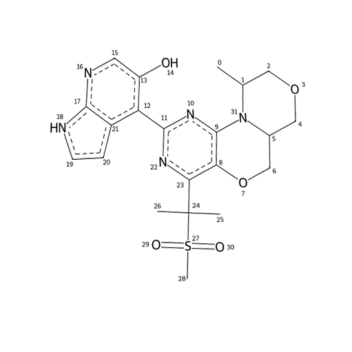 CC1COCC2COc3c(nc(-c4c(O)cnc5[nH]ccc45)nc3C(C)(C)S(C)(=O)=O)N12